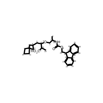 CC(COC(CC1CC2(CCC2)C1)C(C)C(=O)O)NC(=O)OCC1c2ccccc2-c2ccccc21